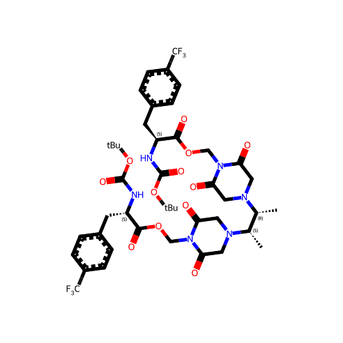 C[C@H]([C@H](C)N1CC(=O)N(COC(=O)[C@H](Cc2ccc(C(F)(F)F)cc2)NC(=O)OC(C)(C)C)C(=O)C1)N1CC(=O)N(COC(=O)[C@H](Cc2ccc(C(F)(F)F)cc2)NC(=O)OC(C)(C)C)C(=O)C1